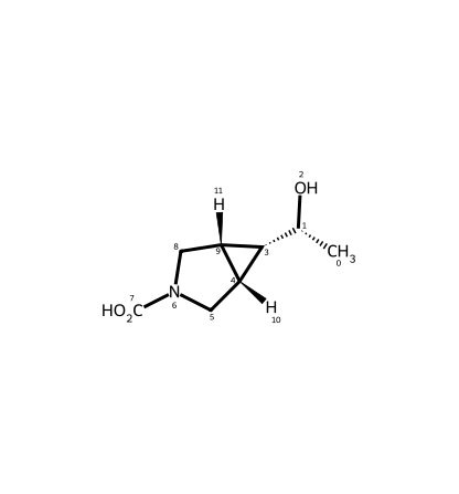 C[C@@H](O)[C@@H]1[C@@H]2CN(C(=O)O)C[C@@H]21